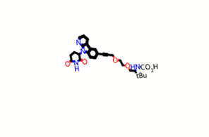 CC(C)(C)C(COCCOCC#Cc1ccc2c(c1)c1cccnc1n2C1CCC(=O)NC1=O)NC(=O)O